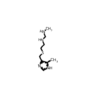 CNCNCCSCc1nc[nH]c1C